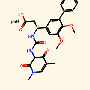 COc1cc([C@H](CC(=O)O)NC(=O)NC2C(=O)C(C)=CN(C)C2=O)cc(-c2ccccc2)c1OC.[NaH]